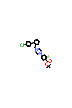 CC(C)(C)OC(=O)c1ccc(N2CCN(Cc3ccccc3-c3ccc(Cl)cc3)CC2)cc1F